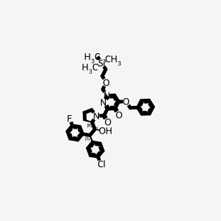 C[Si](C)(C)CCOCn1cc(OCc2ccccc2)c(=O)c(C(=O)N2CCC[C@@H]2[C@H](O)[C@@H](c2ccc(Cl)cc2)c2cccc(F)c2)n1